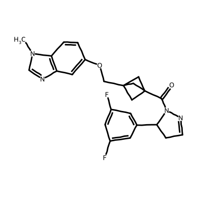 Cn1cnc2cc(OCC34CC(C(=O)N5N=CCC5c5cc(F)cc(F)c5)(C3)C4)ccc21